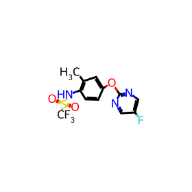 Cc1cc(Oc2ncc(F)cn2)ccc1NS(=O)(=O)C(F)(F)F